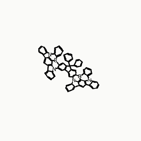 c1ccc(C2(c3ccccc3)c3cc4c(cc3-c3cc5c(cc32)B2c3ccccc3-n3c6ccccc6c6cc7c8ccccc8n-5c7c2c63)-n2c3ccccc3c3cc5c6ccccc6n6c5c(c32)B4c2ccccc2-6)cc1